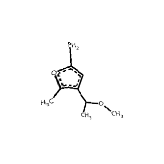 COC(C)c1cc(P)oc1C